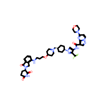 O=C1CCC(N2Cc3c(NCCCOC4CCN(C[C@H]5CC[C@H](n6cc(NC(=O)c7cnn8ccc(N9CCOCC9)nc78)c(C(F)F)n6)CC5)CC4)cccc3C2=O)C(=O)N1